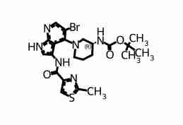 Cc1nc(C(=O)Nc2c[nH]c3ncc(Br)c(N4CCC[C@@H](NC(=O)OC(C)(C)C)C4)c23)cs1